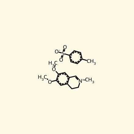 COc1cc2c(cc1OC)CC[N+](C)=C2.Cc1ccc(S(=O)(=O)[O-])cc1